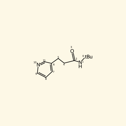 CC(C)(C)NC(=O)CCc1cccnc1